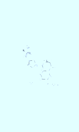 COc1cc2ncnc(-c3csc(NS(N)(=O)=O)c3)c2cc1OC